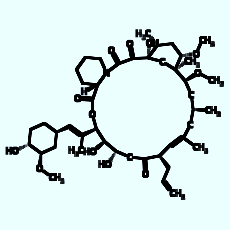 C=CC[C@@H]1/C=C(\C)C[C@H](C)C[C@H](OC)[C@@]2(C)C[C@@](O)(C(=O)C(=O)N3CCCC[C@H]3C(=O)O[C@H](/C(C)=C/[C@@H]3CC[C@@H](O)[C@H](OC)C3)[C@H](O)[C@@H](O)CC1=O)[C@H](C)C[C@@H]2OC